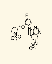 Cc1cc(N=S(C)(C)=O)cc2ncnc(Nc3ccc(F)cc3OC[C@@H]3CCCN(S(C)(=O)=O)C3)c12